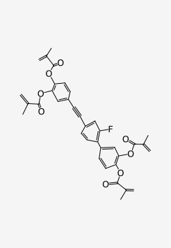 C=C(C)C(=O)Oc1ccc(C#Cc2ccc(-c3ccc(OC(=O)C(=C)C)c(OC(=O)C(=C)C)c3)c(F)c2)cc1OC(=O)C(=C)C